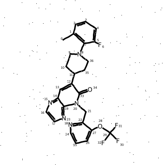 Cc1cccc(F)c1N1CCC(c2cc3nccnc3n(Cc3ncccc3OC(F)(F)F)c2=O)CC1